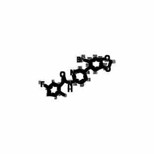 Cc1ccc(F)cc1C(=O)Nc1ccc(-c2cc3c(cc2Br)OCO3)cn1